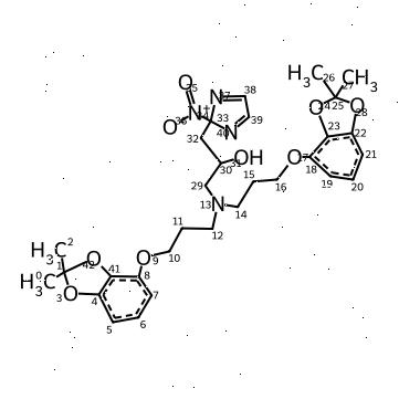 CC1(C)Oc2cccc(OCCCN(CCCOc3cccc4c3OC(C)(C)O4)CC(O)CC3([N+](=O)[O-])N=CC=N3)c2O1